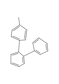 Cc1ccc(-c2ccccc2-c2ccccc2)cc1